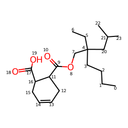 CCCCC(CC)(COC(=O)C1CC=CCC1C(=O)O)CC(C)C